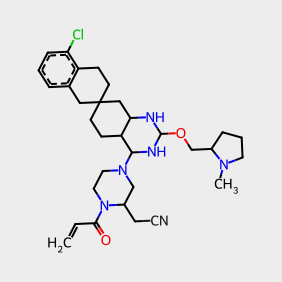 C=CC(=O)N1CCN(C2NC(OCC3CCCN3C)NC3CC4(CCc5c(Cl)cccc5C4)CCC32)CC1CC#N